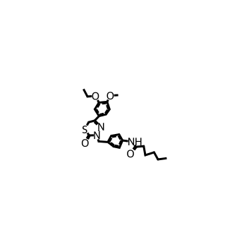 CCCCCC(=O)Nc1ccc(CN2N=C(c3ccc(OC)c(OCC)c3)CSC2=O)cc1